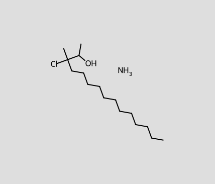 CCCCCCCCCCCCC(C)(Cl)C(C)O.N